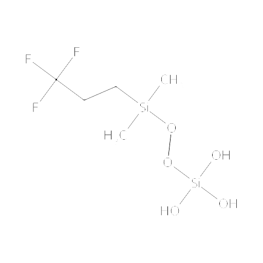 C[Si](C)(CCC(F)(F)F)OO[Si](O)(O)O